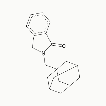 O=C1c2ccccc2CN1CC12CC3CC(CC(C3)C1)C2